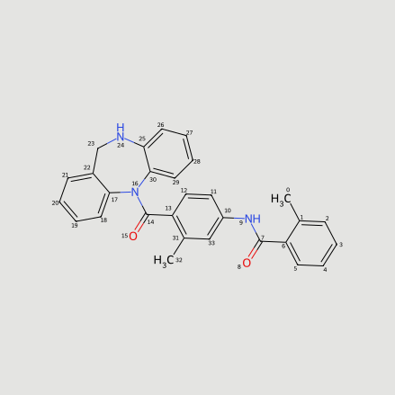 Cc1ccccc1C(=O)Nc1ccc(C(=O)N2c3ccccc3CNc3ccccc32)c(C)c1